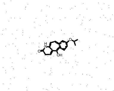 CC(C)Oc1ccc2c(c1)=CC=C1NC(=O)CC=C1C=2O